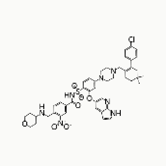 CC1(C)CCC(CN2CCN(c3ccc(S(=O)(=O)NC(=O)c4ccc(CNC5CCOCC5)c([N+](=O)[O-])c4)c(Oc4cnc5[nH]ccc5c4)c3)CC2)=C(c2ccc(Cl)cc2)C1